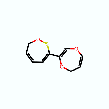 [C]1=C(C2=CC=CCOS2)OCC=CO1